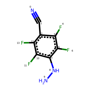 N#Cc1c(F)c(F)c(NN)c(F)c1F